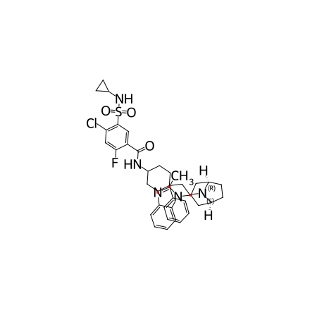 Cc1nc2ccccc2n1C1C[C@H]2CC[C@@H](C1)N2CCC1(c2ccccc2)CCC(NC(=O)c2cc(S(=O)(=O)NC3CC3)c(Cl)cc2F)CC1